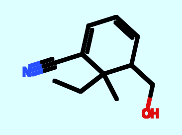 CCC1(C)C(C#N)=CC=CC1CO